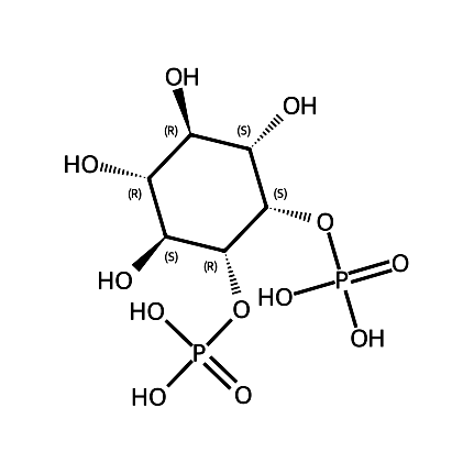 O=P(O)(O)O[C@@H]1[C@@H](O)[C@H](O)[C@@H](O)[C@H](O)[C@@H]1OP(=O)(O)O